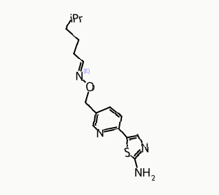 CC(C)CCC/C=N/OCc1ccc(-c2cnc(N)s2)nc1